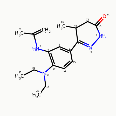 C=C(C)Nc1cc(C2=NNC(=O)CC2C)ccc1N(CC)CC